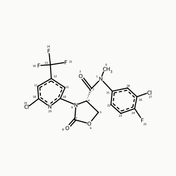 CN(C(=O)[C@@H]1COC(=O)N1c1cc(C(F)(F)F)cc(Cl)n1)c1ccc(F)c(Cl)c1